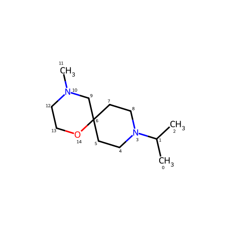 CC(C)N1CCC2(CC1)CN(C)CCO2